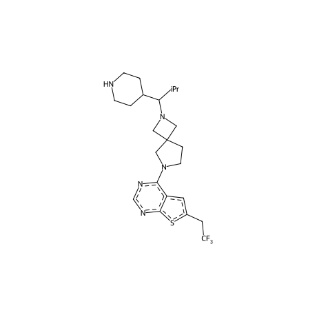 CC(C)C(C1CCNCC1)N1CC2(CCN(c3ncnc4sc(CC(F)(F)F)cc34)C2)C1